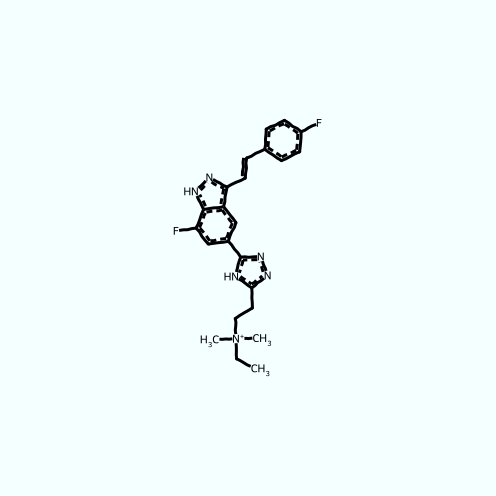 CC[N+](C)(C)CCc1nnc(-c2cc(F)c3[nH]nc(/C=C/c4ccc(F)cc4)c3c2)[nH]1